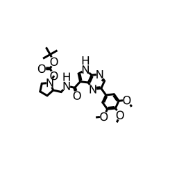 COc1cc(-c2cnc3[nH]cc(C(=O)NCC4CCCN4OC(=O)OC(C)(C)C)c3n2)cc(OC)c1OC